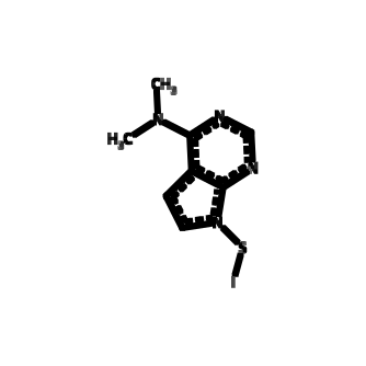 CN(C)c1ncnc2c1ccn2SI